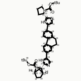 CC(C)(C)OC(=O)N1CCC[C@H]1c1ncc(-c2ccc3c(c2)CCc2cc(-c4cnc([C@@H]5[C@H]6CC[C@H](C6)N5C(=O)OC(C)(C)C)[nH]4)ccc2-3)[nH]1